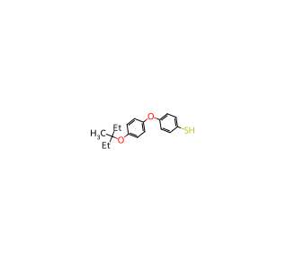 CCC(C)(CC)Oc1ccc(Oc2ccc(S)cc2)cc1